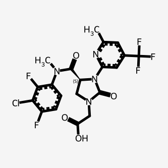 Cc1cc(C(F)(F)F)cc(N2C(=O)N(CC(=O)O)C[C@H]2C(=O)N(C)c2ccc(F)c(Cl)c2F)n1